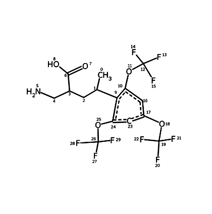 CC(CC(CN)C(=O)O)c1c(OC(F)(F)F)cc(OC(F)(F)F)cc1OC(F)(F)F